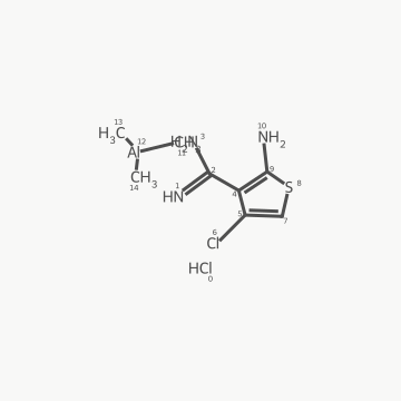 Cl.N=C(N)c1c(Cl)csc1N.[CH3][Al]([CH3])[CH3]